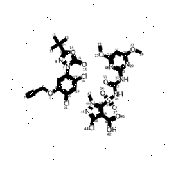 C#CCOc1cc(-n2nc(C(C)(C)C)oc2=O)c(Cl)cc1Cl.COc1cc(OC)nc(NC(=O)NS(=O)(=O)c2c(C(=O)O)c(Cl)nn2C)n1